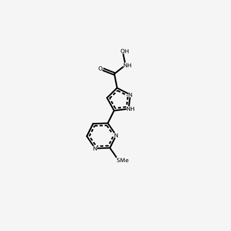 CSc1nccc(-c2cc(C(=O)NO)n[nH]2)n1